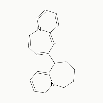 [C]1=C2C=CC=CN2C=CC=C1C1CCCCN2CC=CC=C12